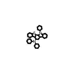 c1ccc(N(c2ccccc2)c2cc3c4ccccc4n(-c4ccccc4)c3c3sc4ccccc4c23)cc1